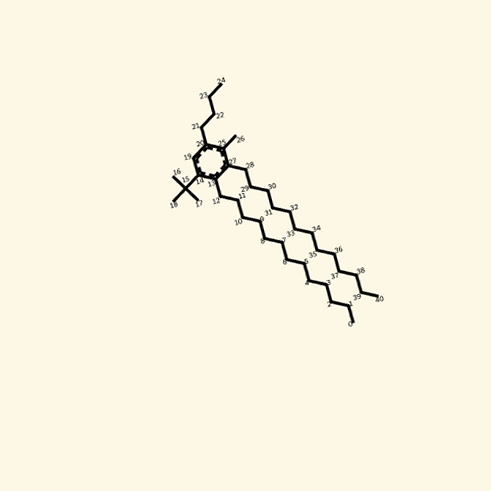 CCCCCCCCCCCCCc1c(C(C)(C)C)cc(CCCC)c(C)c1CCCCCCCCCCCCC